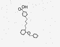 O=C(O)c1ccc(CCCCCc2ccccc2OCc2ccccc2)cc1